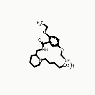 O=C(O)CCCCN1CCCCC1CNC(=O)c1cc(OCC(F)(F)F)ccc1OCC(F)(F)F